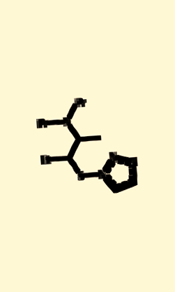 CCC(Sn1ccnn1)C(C)N(C(C)C)C(C)C